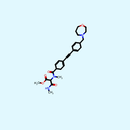 CNC(=O)C(C(=O)OC)N(C)C(=O)C1C=CC(C#CC2=CCC(CN3CCCOCC3)C=C2)=CC1